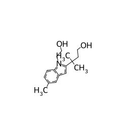 Cc1ccc2c(c1)cc(C(C)(C)CCO)n2CCO